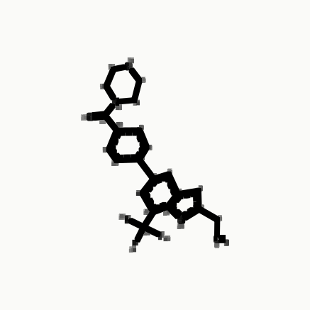 CCc1cc2cc(-c3ccc(C(=O)N4CCOCC4)cc3)cc(C(F)(F)F)c2o1